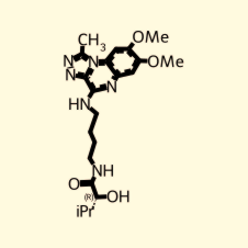 COc1cc2nc(NCCCCNC(=O)[C@H](O)C(C)C)c3nnc(C)n3c2cc1OC